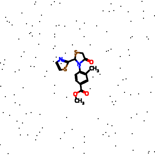 COC(=O)c1ccc(N2C(=O)CSC2c2nccs2)c(C)c1